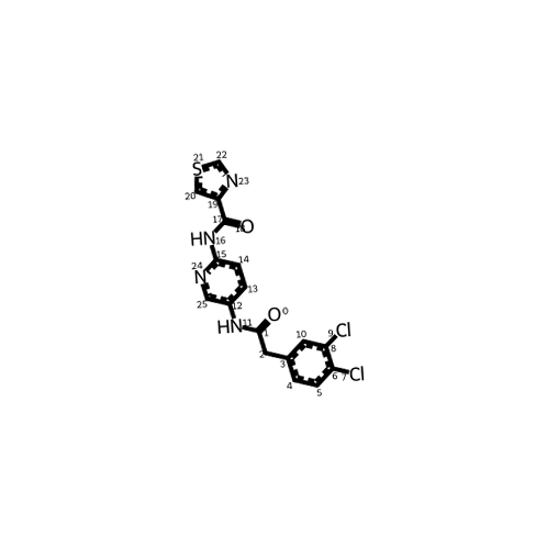 O=C(Cc1ccc(Cl)c(Cl)c1)Nc1ccc(NC(=O)c2cscn2)nc1